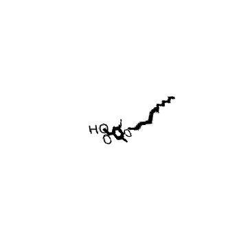 CCCCCCCCCCCCOc1c(C)cc(C(=O)O)cc1I